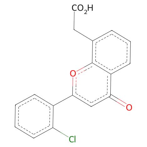 O=C(O)Cc1cccc2c(=O)cc(-c3ccccc3Cl)oc12